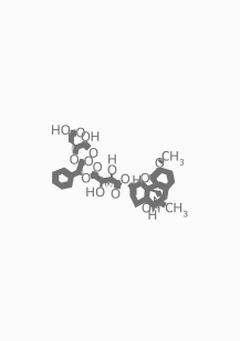 COc1ccc2c3c1O[C@H]1C(OC(=O)[C@H](O)[C@@H](O)C(=O)O[C@H](C(=O)O[C@@H](CC(=O)O)C(=O)O)c4ccccc4)=CC[C@@]4(O)[C@@H](C2)N(C)CC[C@]314